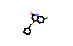 O=c1cc(SCc2ccccc2)c2ccc(Cl)cc2[nH]1